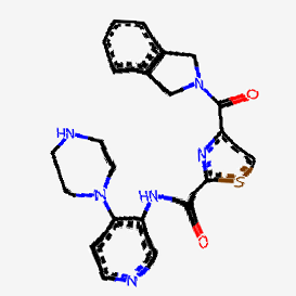 O=C(Nc1cnccc1N1CCNCC1)c1nc(C(=O)N2Cc3ccccc3C2)cs1